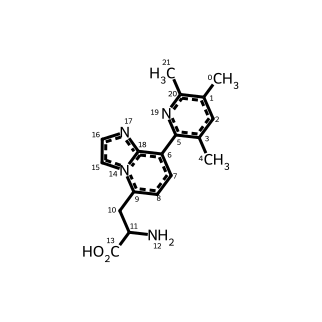 Cc1cc(C)c(-c2ccc(CC(N)C(=O)O)n3ccnc23)nc1C